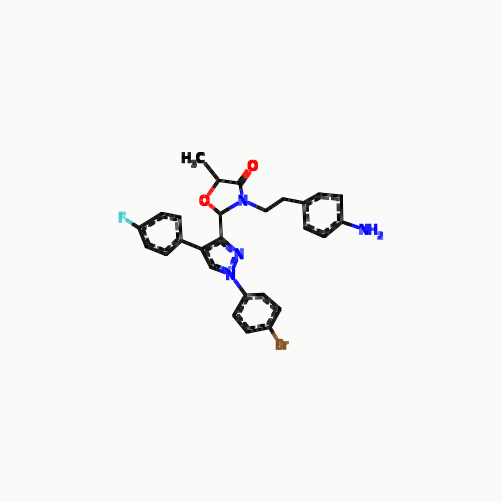 CC1OC(c2nn(-c3ccc(Br)cc3)cc2-c2ccc(F)cc2)N(CCc2ccc(N)cc2)C1=O